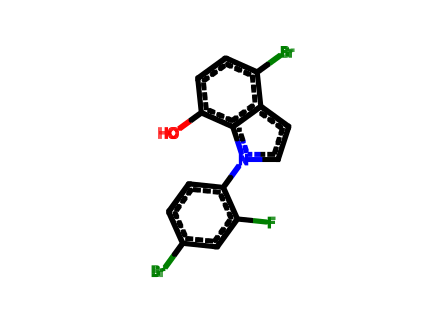 Oc1ccc(Br)c2ccn(-c3ccc(Br)cc3F)c12